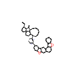 C=Cc1ccccc1C(=C)c1ccccccc(/C(C)=C/C(=C\C)c2ccc3oc4cc5ccc6oc7ccccc7c6c5cc4c3c2)c2ccccc12